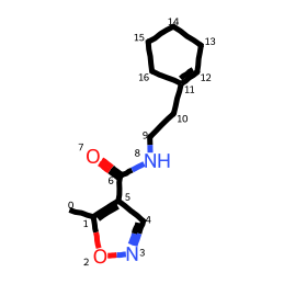 Cc1oncc1C(=O)NCCC1=CCCCC1